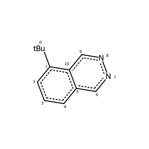 CC(C)(C)c1cccc2cnncc12